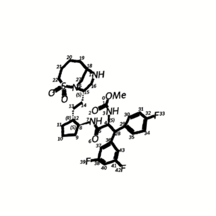 COC(=O)N[C@H](C(=O)N[C@H]1CCC[C@@H]1CC[C@H]1CNC2CCCCS(=O)(=O)N1C2)C(c1ccc(F)cc1)c1cc(F)cc(F)c1